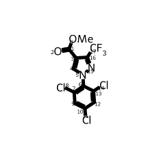 COC(=O)c1cn(-c2c(Cl)cc(Cl)cc2Cl)nc1C(F)(F)F